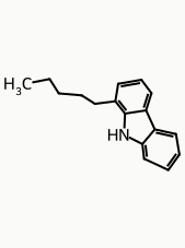 CCCCCc1cccc2c1[nH]c1ccccc12